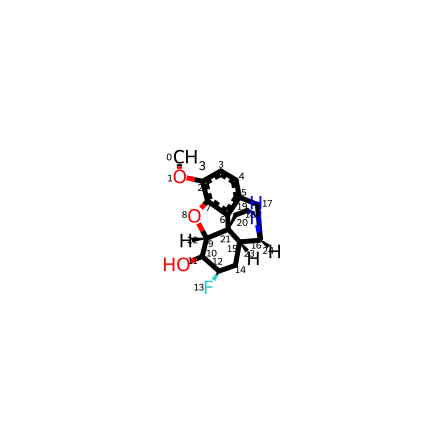 COc1ccc2c3c1O[C@H]1C(O)[C@H](F)C[C@H]4[C@@H](C2)NCC[C@]314